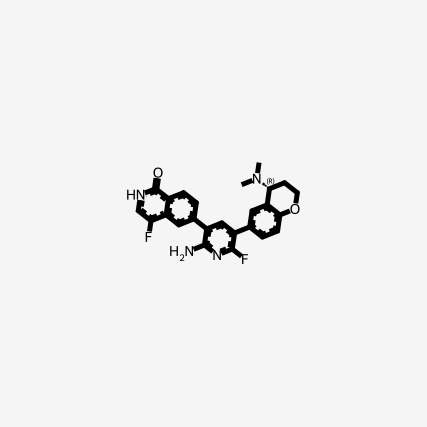 CN(C)[C@@H]1CCOc2ccc(-c3cc(-c4ccc5c(=O)[nH]cc(F)c5c4)c(N)nc3F)cc21